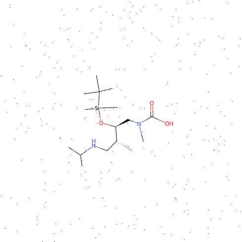 CC(C)NC[C@@H](C)[C@H](CN(C)C(=O)O)O[Si](C)(C)C(C)(C)C